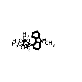 CCn1c2ccccc2c2c(B3OC(C)(C)C(C)(C)O3)cccc21